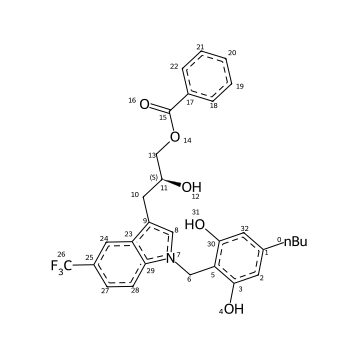 CCCCc1cc(O)c(Cn2cc(C[C@H](O)COC(=O)c3ccccc3)c3cc(C(F)(F)F)ccc32)c(O)c1